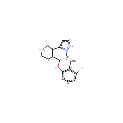 CC(C)n1nccc1C1CNCCC1COc1cccc(F)c1C=O